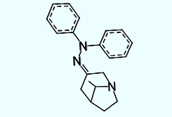 CC1C2CCN1CC(=NN(c1ccccc1)c1ccccc1)C2